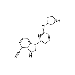 N#Cc1cccc2c(-c3cccc(OC4CCNC4)n3)c[nH]c12